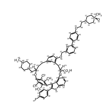 Cc1c(Cl)c2c(Cl)c(C)c1-c1c(-c3ccc(F)cc3)sc3ncnc(c13)O[C@@H](C(=O)O)Cc1cc(ccc1OCc1ccnc(-c3ccc(OCCN4CCP(C)(=O)CC4)cc3)n1)CC[C@@H](CN1CCN(C)CC1)O2